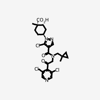 CC1(CN(CC(=O)c2c(Cl)cncc2Cl)C(=O)c2cnn([C@H]3CC[C@](C)(C(=O)O)CC3)c2Cl)CC1